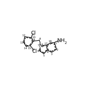 Nc1ccc2ccn(Cc3c(Cl)cccc3Cl)c2c1